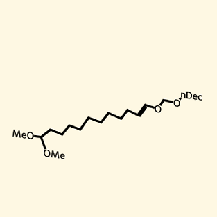 CCCCCCCCCCOCOC=CCCCCCCCCCC(OC)OC